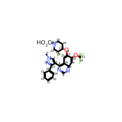 Cn1cc(-c2ncnc3cc(OC(F)F)c(O[C@@H]4CCN(C(=O)O)C[C@H]4F)cc23)c(-c2ccccc2)n1